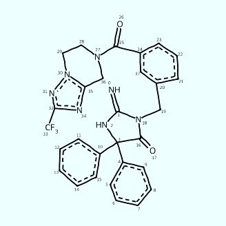 N=C1NC(c2ccccc2)(c2ccccc2)C(=O)N1Cc1cccc(C(=O)N2CCn3nc(C(F)(F)F)nc3C2)c1